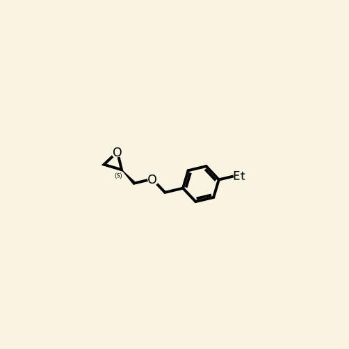 CCc1ccc(COC[C@H]2CO2)cc1